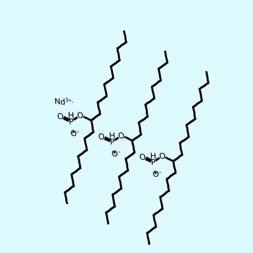 CCCCCCCCCCC(CCCCCCCCC)O[PH](=O)[O-].CCCCCCCCCCC(CCCCCCCCC)O[PH](=O)[O-].CCCCCCCCCCC(CCCCCCCCC)O[PH](=O)[O-].[Nd+3]